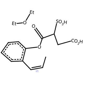 C/C=C\c1ccccc1OC(=O)C(CC(=O)O)S(=O)(=O)O.CCOCC